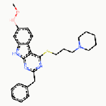 COBc1ccc2c(c1)[nH]c1nc(Cc3ccccc3)nc(SCCCN3CCCCC3)c12